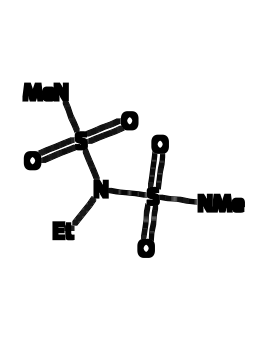 [CH2]CN(S(=O)(=O)NC)S(=O)(=O)NC